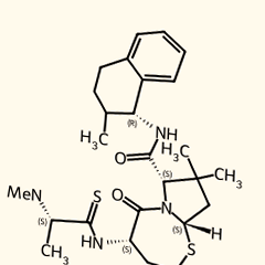 CN[C@@H](C)C(=S)N[C@H]1CCS[C@H]2CC(C)(C)[C@@H](C(=O)N[C@H]3c4ccccc4CCC3C)N2C1=O